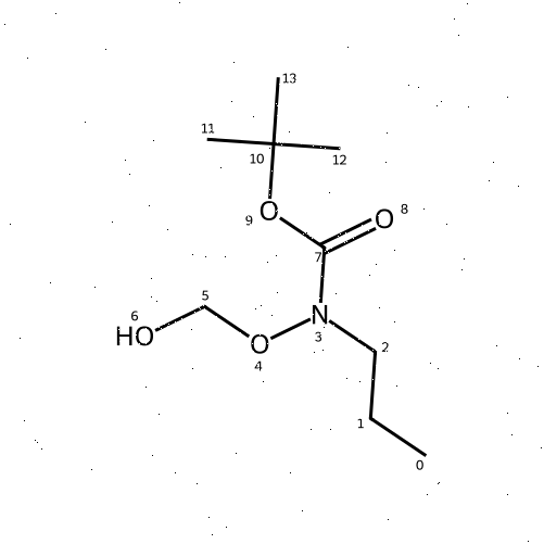 CCCN(OCO)C(=O)OC(C)(C)C